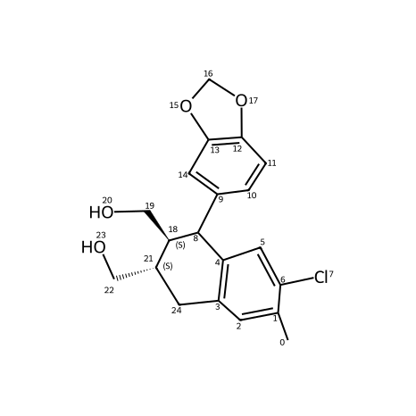 Cc1cc2c(cc1Cl)C(c1ccc3c(c1)OCO3)[C@H](CO)[C@@H](CO)C2